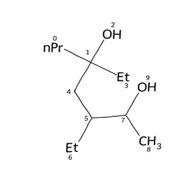 CCCC(O)(CC)CC(CC)C(C)O